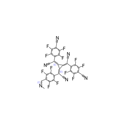 C/N=C\c1c(F)c(F)c(/C(C#N)=C2/C(=C(C#N)c3c(F)c(F)c(C#N)c(F)c3F)/C2=C(/C#N)c2c(F)c(F)c(C#N)c(F)c2F)c(F)c1F